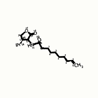 C=CCCCCCCCC(=O)NC1C(=O)OC[C@@H]1C(C)C